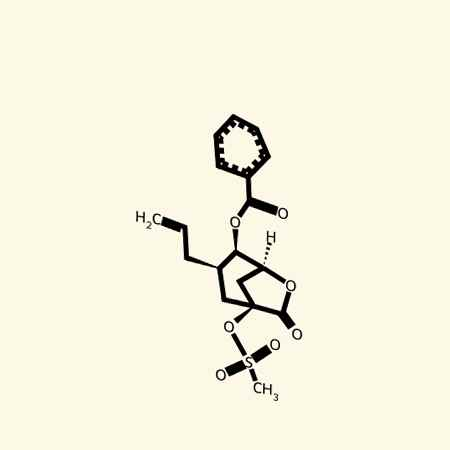 C=CC[C@@H]1C[C@]2(OS(C)(=O)=O)C[C@H](OC2=O)[C@@H]1OC(=O)c1ccccc1